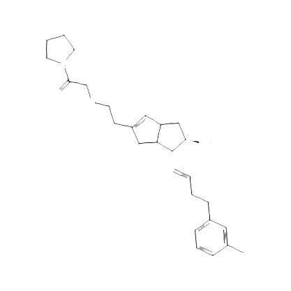 Cc1cccc(CC/C=C/[C@@H]2[C@H]3CC(CCSCC(=O)N4CCCC4)=C[C@H]3C[C@H]2O)c1